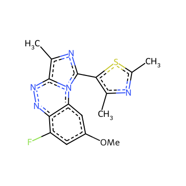 COc1cc(F)c2nnc3c(C)nc(-c4sc(C)nc4C)n3c2c1